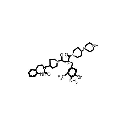 Nc1c(Br)cc(C[C@@H](CC(=O)N2CCC(N3CCc4ccccc4NC3=O)CC2)C(=O)N2CCC(N3CCNCC3)CC2)cc1C(F)(F)F